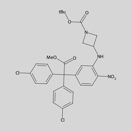 COC(=O)C(c1ccc(Cl)cc1)(c1ccc(Cl)cc1)c1ccc([N+](=O)[O-])c(NC2CN(C(=O)OC(C)(C)C)C2)c1